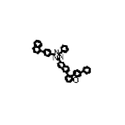 c1ccc(-c2ccc3c(c2)oc2cccc(-c4ccc5cc(-c6nc(-c7ccccc7)nc(-c7ccc(-c8cccc9ccccc89)cc7)n6)ccc5c4)c23)cc1